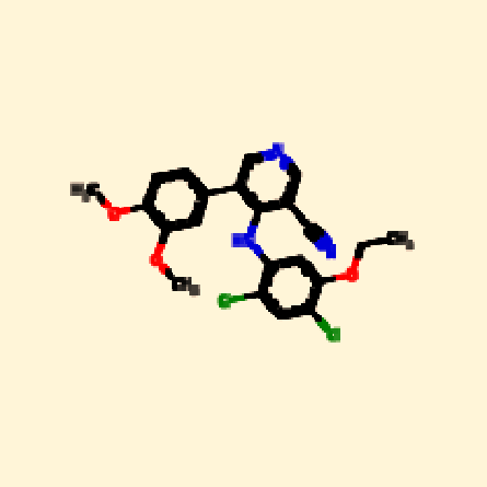 CCOc1cc(Nc2c(C#N)cncc2-c2ccc(OC)c(OC)c2)c(Cl)cc1Cl